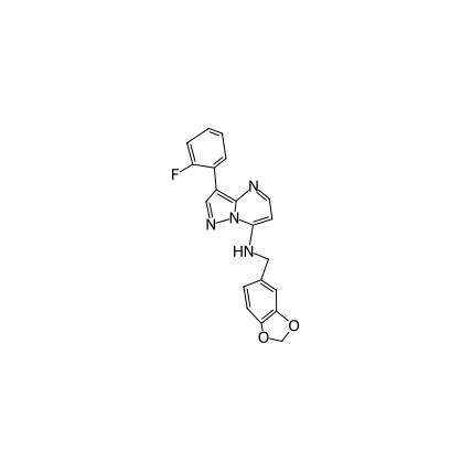 Fc1ccccc1-c1cnn2c(NCc3ccc4c(c3)OCO4)ccnc12